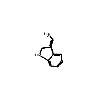 NC=C1CNc2ccccc21